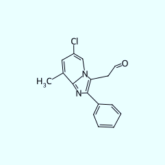 Cc1cc(Cl)cn2c(CC=O)c(-c3ccccc3)nc12